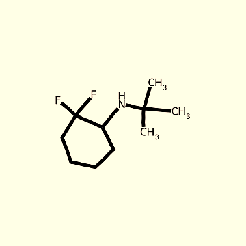 CC(C)(C)NC1CCCCC1(F)F